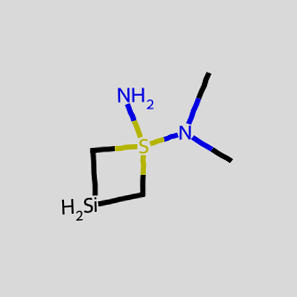 CN(C)S1(N)C[SiH2]C1